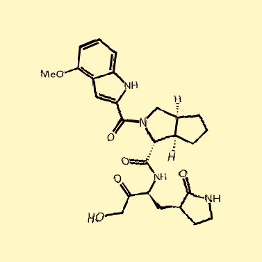 COc1cccc2[nH]c(C(=O)N3C[C@H]4CCC[C@H]4[C@@H]3C(=O)N[C@@H](C[C@@H]3CCNC3=O)C(=O)CO)cc12